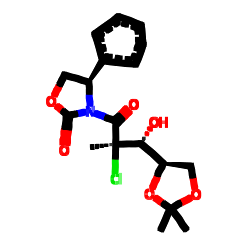 CC1(C)OC[C@H]([C@@H](O)[C@@](C)(Cl)C(=O)N2C(=O)OC[C@H]2c2ccccc2)O1